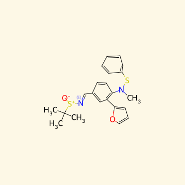 CN(Sc1ccccc1)c1ccc(/C=N/[S+]([O-])C(C)(C)C)cc1-c1ccco1